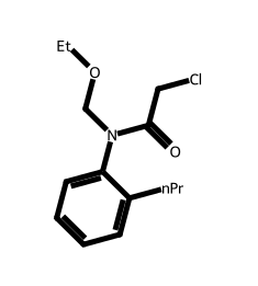 CCCc1ccccc1N(COCC)C(=O)CCl